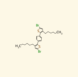 CCCCCCc1cc(Br)sc1-c1ccc(-c2sc(Br)cc2CCCCCC)cc1